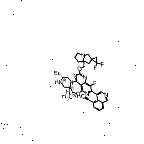 C#Cc1cccc2cncc(-c3nc4c5c(nc(OC[C@@]67CCCN6CC6(CC6(F)F)C7)nc5c3F)N3C[C@@H](CC)NC[C@H]3[C@H](C)O4)c12